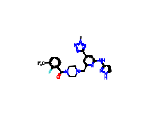 Cn1nnc(-c2cc(CN3CCN(C(=O)c4cccc(C(F)(F)F)c4F)CC3)nc(Nc3cc[nH]n3)c2)n1